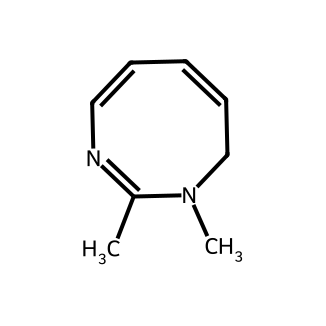 C/C1=N/C=C\C=C/CN1C